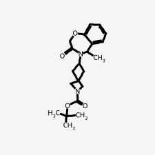 CC1c2ccccc2OCC(=O)N1C1CC2(C1)CN(C(=O)OC(C)(C)C)C2